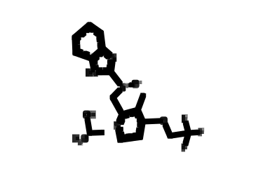 CCO.Cc1c(OCC(F)(F)F)ccnc1C[S@@+]([O-])c1nc2ccccc2[nH]1.O